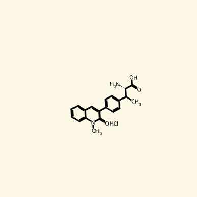 CC(c1ccc(-c2cc3ccccc3n(C)c2=O)cc1)[C@H](N)C(=O)O.Cl